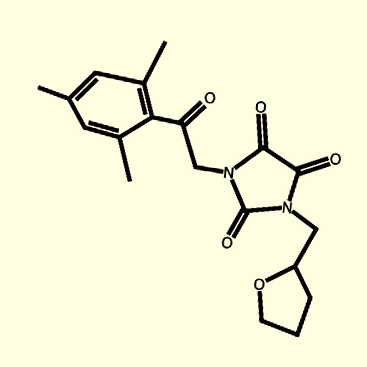 Cc1cc(C)c(C(=O)CN2C(=O)C(=O)N(CC3CCCO3)C2=O)c(C)c1